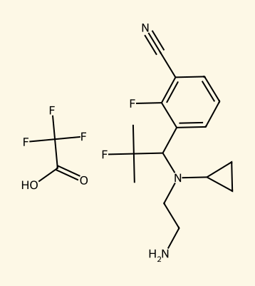 CC(C)(F)C(c1cccc(C#N)c1F)N(CCN)C1CC1.O=C(O)C(F)(F)F